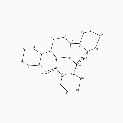 CCOC(=O)C1C(C2CCCCC2)CCC(C2CCCCC2)C1C(=O)OCC